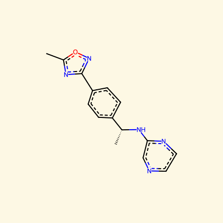 Cc1nc(-c2ccc([C@@H](C)Nc3cnccn3)cc2)no1